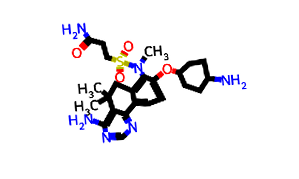 CN(c1c(OC2CCC(N)CC2)ccc2c1CC(C)(C)c1c(N)ncnc1-2)S(=O)(=O)CCC(N)=O